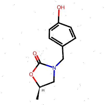 C[C@@H]1CN(Cc2ccc(O)cc2)C(=O)O1